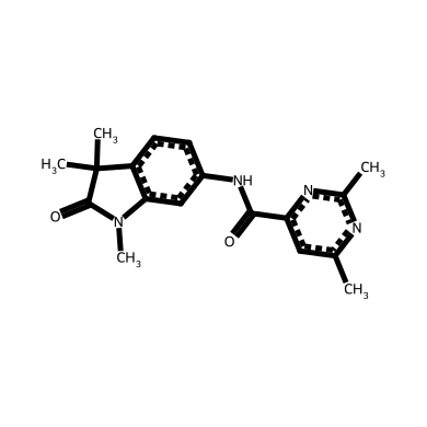 Cc1cc(C(=O)Nc2ccc3c(c2)N(C)C(=O)C3(C)C)nc(C)n1